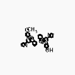 COc1ccc(-n2cc(-c3ccccn3)cc(-c3ccccc3Cl)c2=O)cc1.O=c1c(-c2ccccc2Cl)cc(-c2ccccn2)cn1-c1ccc(O)cc1